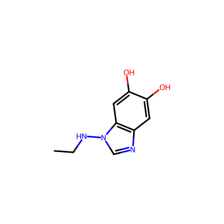 CCNn1cnc2cc(O)c(O)cc21